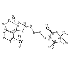 COc1cccc2c1[C@@H]1CN(CCCCN3C(=O)CC4(CCCC4)CC3=O)C[C@@H]1CC2